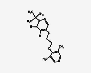 Cc1cccc(C)c1OCCSc1cnn(C(C)(C)C)c(=O)c1Cl